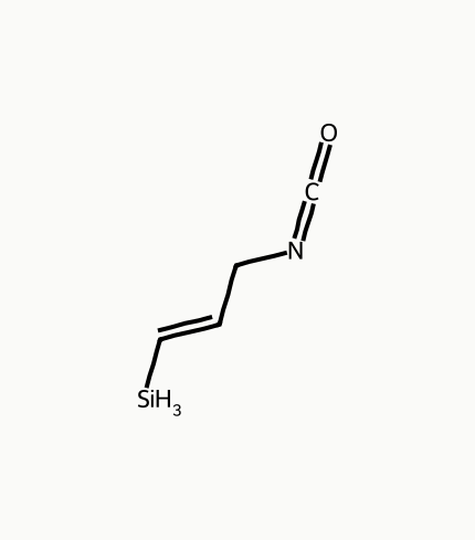 O=C=NCC=C[SiH3]